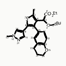 CCOC(=O)C(OC(C)(C)C)c1c(C)sc(-c2cnn(C)c2)c1-c1ccc2c(c1)CCCO2